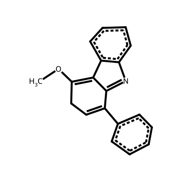 COC1=C2C(=Nc3ccccc32)C(c2ccccc2)=CC1